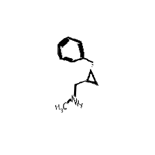 CNC[C@@H]1C[C@H]1Cc1ccccc1